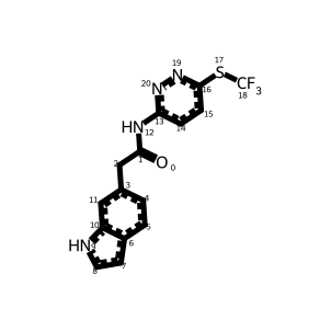 O=C(Cc1ccc2cc[nH]c2c1)Nc1ccc(SC(F)(F)F)nn1